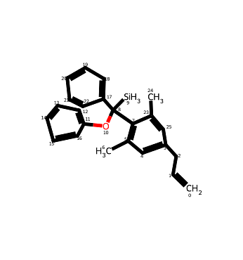 C=CCc1cc(C)c(C([SiH3])(Oc2ccccc2)c2ccccc2)c(C)c1